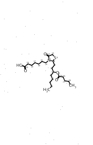 CCCCCC(CCC1SCC(=O)N1CCCCCCC(=O)O)OC(=O)CCCC